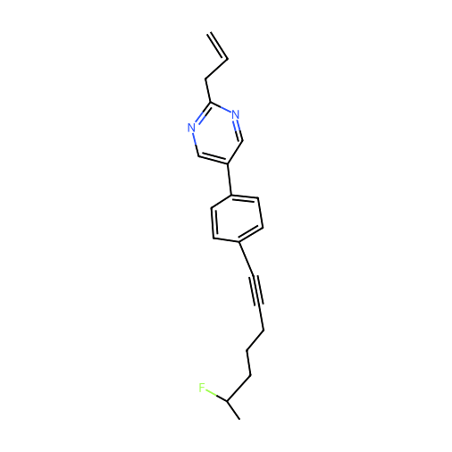 C=CCc1ncc(-c2ccc(C#CCCCC(C)F)cc2)cn1